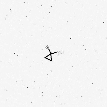 [C-]#[N+]C1(C(=O)O)CC1